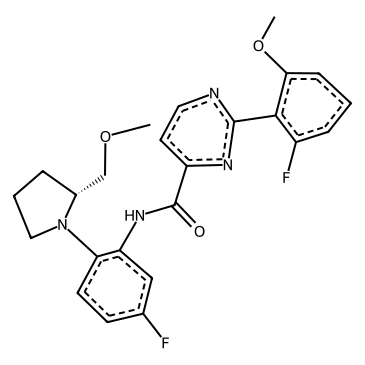 COC[C@H]1CCCN1c1ccc(F)cc1NC(=O)c1ccnc(-c2c(F)cccc2OC)n1